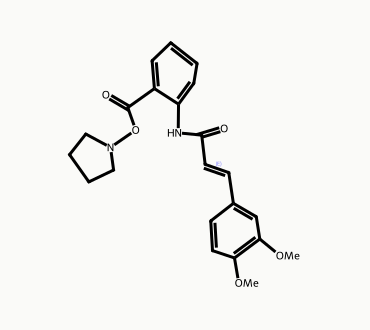 COc1ccc(/C=C/C(=O)Nc2ccccc2C(=O)ON2CCCC2)cc1OC